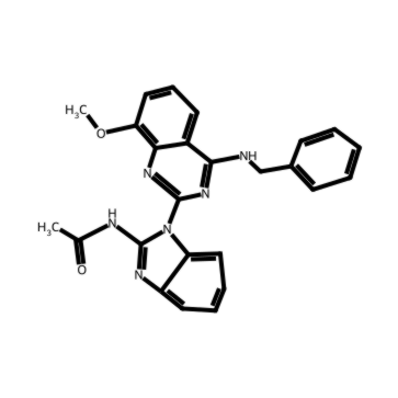 COc1cccc2c(NCc3ccccc3)nc(-n3c(NC(C)=O)nc4ccccc43)nc12